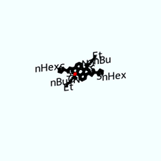 CCCCCCc1ccc(-c2cc3c4ccc5nc(OCC(CC)CCCC)c6c7sc(-c8ccc(CCCCCC)s8)cc7c7ccc8nc(OCC(CC)CCCC)c(c3s2)c2c8c7c6c5c42)s1